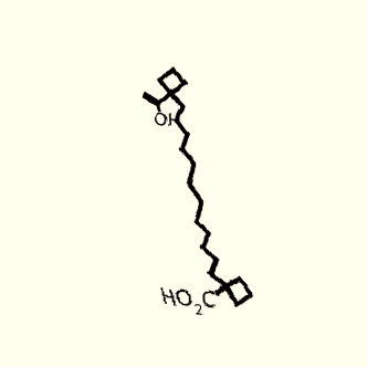 C=C(O)C1(CCCCCCCCCCCCC2(C(=O)O)CCC2)CCC1